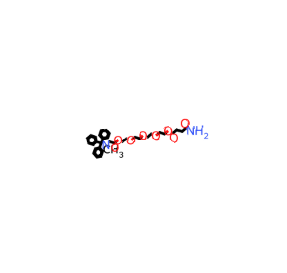 CN(CC(=O)OCCOCCOCCOCCOC(=O)CCC(N)=O)C(c1ccccc1)(c1ccccc1)c1ccccc1